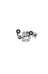 Cl.Nc1ccc(OC(F)(F)F)cc1C(=O)NCC(=O)N[C@@H]1CCN(Cc2ccccc2)C1